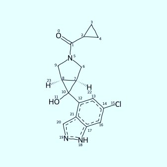 O=C(C1CC1)N1C[C@@H]2[C@H](C1)C2(O)c1cc(Cl)cc2[nH]ncc12